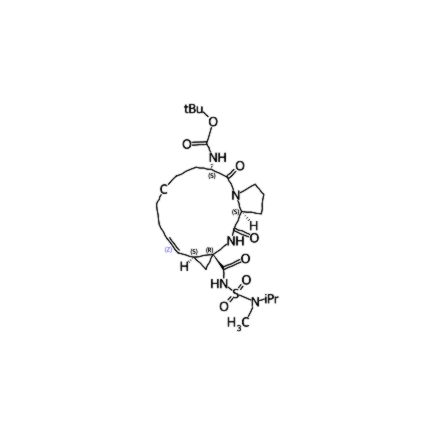 CC(C)N(C)S(=O)(=O)NC(=O)[C@@]12C[C@H]1/C=C\CCCCC[C@H](NC(=O)OC(C)(C)C)C(=O)N1CCC[C@H]1C(=O)N2